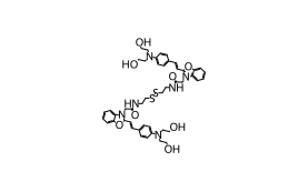 O=C(CN1c2ccccc2OC1/C=C/c1ccc(N(CCO)CCO)cc1)NCCSSCCNC(=O)C[n+]1c(/C=C/c2ccc(N(CCO)CCO)cc2)oc2ccccc21